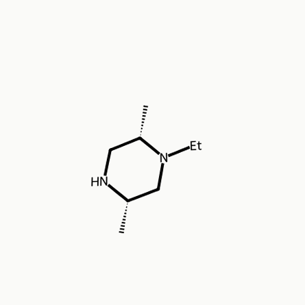 CCN1C[C@H](C)NC[C@@H]1C